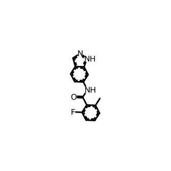 Cc1cccc(F)c1C(=O)Nc1ccc2cn[nH]c2c1